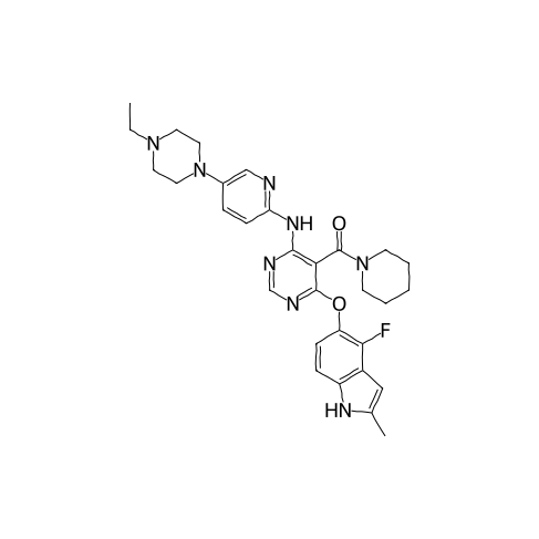 CCN1CCN(c2ccc(Nc3ncnc(Oc4ccc5[nH]c(C)cc5c4F)c3C(=O)N3CCCCC3)nc2)CC1